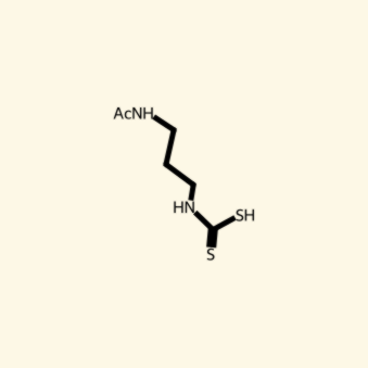 CC(=O)NCCCNC(=S)S